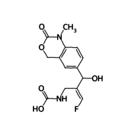 CN1C(=O)OCc2cc(C(O)/C(=C/F)CNC(=O)O)ccc21